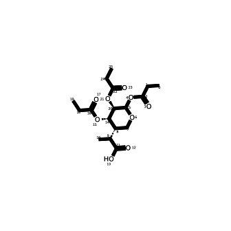 CCC(=O)OC1OC[C@H](C(C)C(=O)O)[C@H](OC(=O)CC)[C@H]1OC(=O)CC